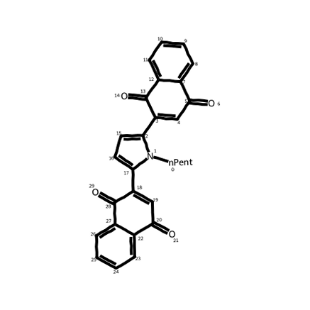 CCCCCn1c(C2=CC(=O)c3ccccc3C2=O)ccc1C1=CC(=O)c2ccccc2C1=O